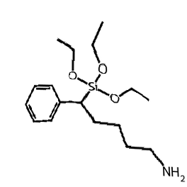 CCO[Si](OCC)(OCC)C(CCCCN)c1ccccc1